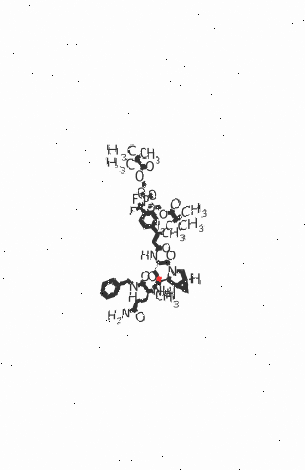 CCCC[C@H](NC(=O)/C=C(\C)c1ccc(C(F)(F)P(=O)(OCOC(=O)C(C)(C)C)OCOC(=O)C(C)(C)C)cc1)C(=O)N1C[C@H]2C[C@H]2[C@H]1C(=O)N[C@@H](CCC(N)=O)C(=O)NCc1ccccc1